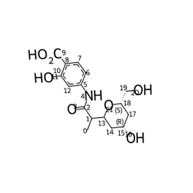 CC(C(=O)Nc1ccc(C(=O)O)c(O)c1)C1C[C@@H](O)C[C@@H](CO)O1